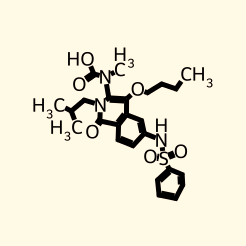 CCCCOc1c(N(C)C(=O)O)n(CC(C)C)c(=O)c2ccc(NS(=O)(=O)c3ccccc3)cc12